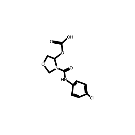 O=C(O)OC1COCN1C(=O)Nc1ccc(Cl)cc1